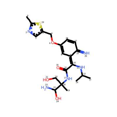 Cc1ncc(COC2=C/C(=C(/NC(C)C)C(=O)NC(C)(CO)C(N)O)C(=N)C=C2)s1